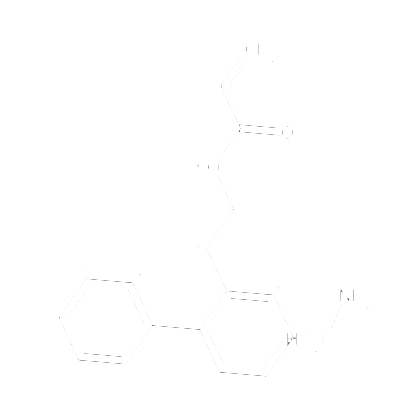 C=CC(=O)OCCc1ccccc1-c1ccccc1.NC(=O)O